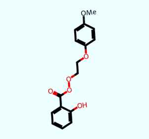 COc1ccc(OCCOOC(=O)c2ccccc2O)cc1